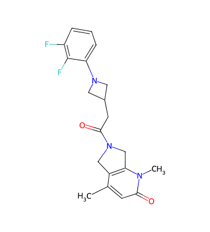 Cc1cc(=O)n(C)c2c1CN(C(=O)CC1CN(c3cccc(F)c3F)C1)C2